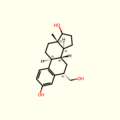 C[C@]12CC[C@@H]3c4ccc(O)cc4[C@@H](CO)C[C@H]3[C@@H]1CCC2O